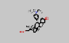 CN(C)c1ccc(C2C[C@@]3(C)C(CCCO)CC[C@H]3C3CCC4=CC(=O)CCC4=C23)cc1